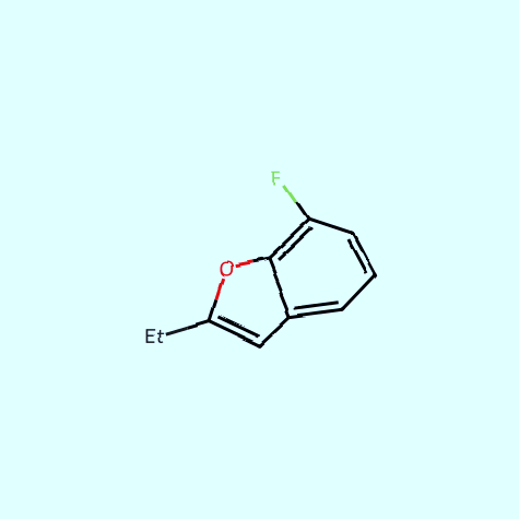 [CH2]Cc1cc2cccc(F)c2o1